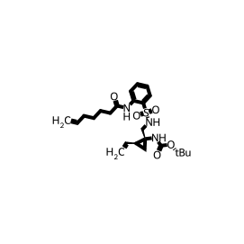 C=CCCCCC(=O)Nc1ccccc1S(=O)(=O)NC[C@@]1(NC(=O)OC(C)(C)C)C[C@H]1C=C